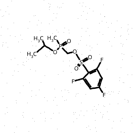 CC(C)OP(C)(=O)COS(=O)(=O)c1c(F)cc(F)cc1F